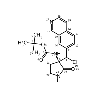 CC(C)(C)OC(=O)N[C@]1(C(Cl)c2ccc3ccncc3c2)CCNC1=O